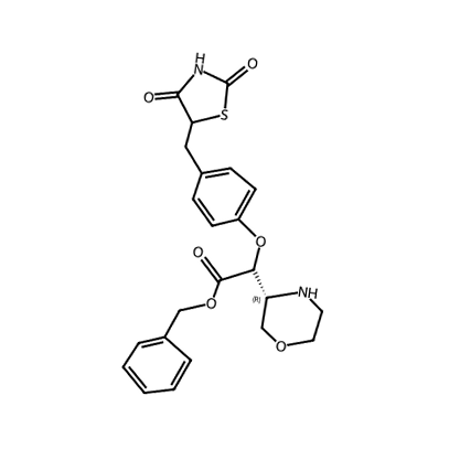 O=C1NC(=O)C(Cc2ccc(OC(C(=O)OCc3ccccc3)[C@H]3COCCN3)cc2)S1